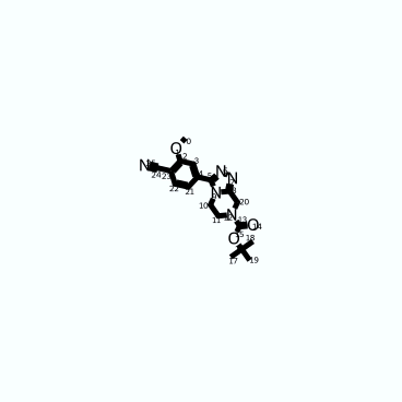 COc1cc(-c2nnc3n2CCN(C(=O)OC(C)(C)C)C3)ccc1C#N